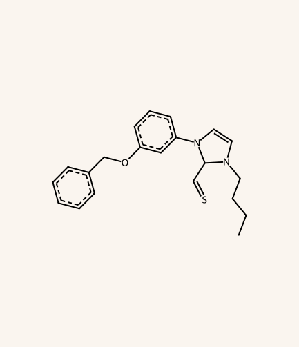 CCCCN1C=CN(c2cccc(OCc3ccccc3)c2)C1C=S